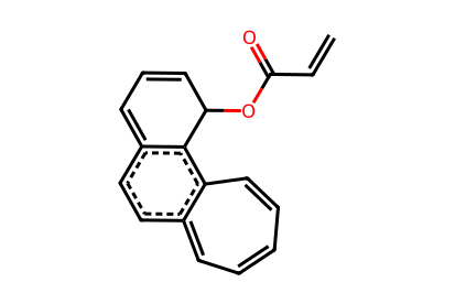 C=CC(=O)OC1C=CC=c2ccc3c(c21)C=CC=CC=3